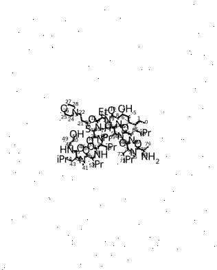 C/C=C/C[C@@H](C)[C@@H](O)[C@@H](C(=O)N[C@@H](CC)C(=O)N(C)[C@H](SCCCN1CCOCC1)C(=O)N(C)C(C(=O)NC(C(=O)N(C)[C@@H](CC(C)C)C(=O)N[C@H](C)CO)C(C)C)C(C)C)N(C)C(=O)[C@H](C(C)C)N(C)C(=O)[C@H](CC(C)C)N(C)C(=O)[C@H](CC(C)C)N(C)C(=O)[C@@H](C)N